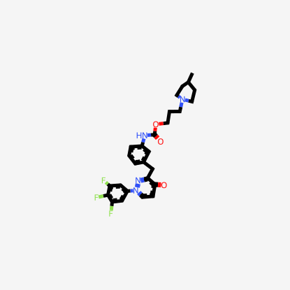 CC1CCN(CCCOC(=O)Nc2cccc(Cc3nn(-c4cc(F)c(F)c(F)c4)ccc3=O)c2)CC1